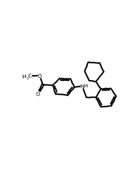 COC(=O)c1ccc(NCc2ccccc2C2CCCCC2)cc1